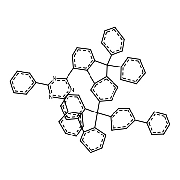 c1ccc(-c2ccc(C3(c4ccc5c(c4)-c4c(-c6nc(-c7ccccc7)nc(-c7ccccc7)n6)cccc4C5(c4ccccc4)c4ccccc4)c4ccccc4-c4ccccc43)cc2)cc1